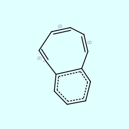 [C]1=C/C=C\C=C/c2ccccc2\1